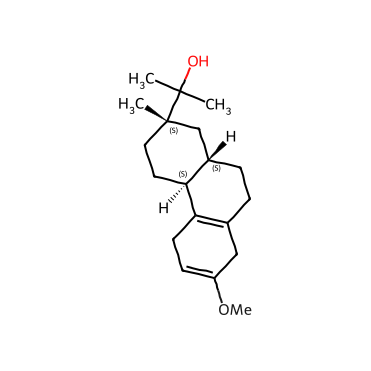 COC1=CCC2=C(CC[C@H]3C[C@@](C)(C(C)(C)O)CC[C@H]23)C1